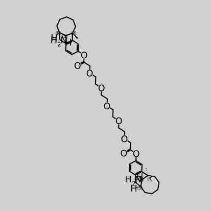 C[C@@]12CCCCC[C@H](Cc3ccc(OC(=O)COCCOCCOCCOCCOCC(=O)Oc4ccc5c(c4)[C@@]4(C)CCCCC[C@@H](C5)[C@@H]4N)cc31)[C@@H]2N